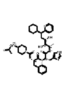 CC(=O)O.C[C@H](NC(=O)[C@H](Cc1c[nH]cn1)NC(=O)[C@@H](CC(=O)N1CCC(N)CC1)Cc1ccccc1)[C@@H](O)[C@@H](O)CC(c1ccccn1)C1CCCCC1